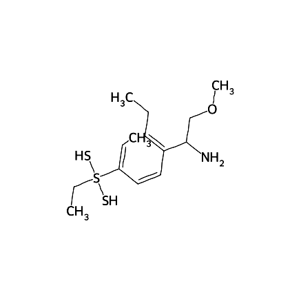 C\C=C(/C=C\C(=C\CC)C(N)COC)S(S)(S)CC